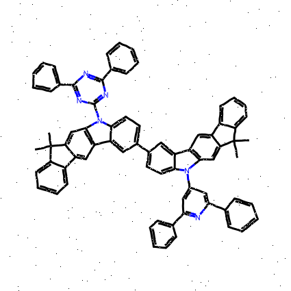 CC1(C)c2ccccc2-c2cc3c4cc(-c5ccc6c(c5)c5cc7c(cc5n6-c5nc(-c6ccccc6)nc(-c6ccccc6)n5)C(C)(C)c5ccccc5-7)ccc4n(-c4cc(-c5ccccc5)nc(-c5ccccc5)c4)c3cc21